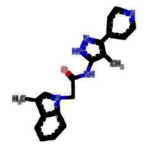 Cc1c(-c2ccncc2)n[nH]c1NC(=O)Cn1cc(C)c2ccccc21